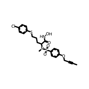 CC#CCOc1ccc(S(=O)(=O)N(C)C(CCCSc2ccc(Cl)cc2)C(=O)NO)cc1